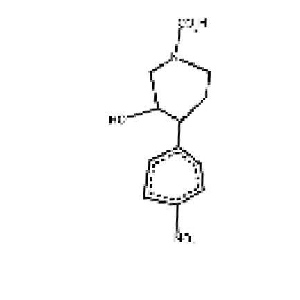 O=C(O)N1CCC(c2ccc([N+](=O)[O-])cc2)C(O)C1